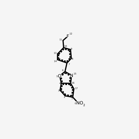 O=[N+]([O-])c1ccc2oc(-c3ccc(CF)cc3)nc2c1